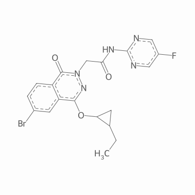 CCC1CC1Oc1nn(CC(=O)Nc2ncc(F)cn2)c(=O)c2ccc(Br)cc12